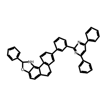 c1ccc(-c2cc(-c3ccccc3)nc(-c3cccc(-c4ccc5c(ccc6ccc7c(c65)NC(c5ccccc5)O7)c4)c3)n2)cc1